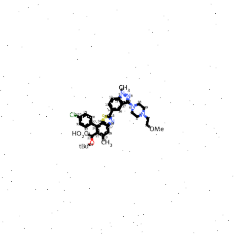 COCCN1CCN(c2nn(C)c3ccc(-c4nc5cc(C)c(C(OC(C)(C)C)C(=O)O)c(-c6ccc(Cl)cc6)c5s4)cc23)CC1